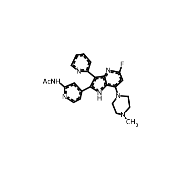 CC(=O)Nc1cc(-c2[nH]c3c(N4CCN(C)CC4)cc(F)nc3c2-c2ccccn2)ccn1